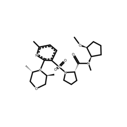 CO[C@H]1CCC[C@H]1N(C)C(=O)[C@@H]1CCCN1S(=O)(=O)c1ccc(C)nc1N1[C@@H](C)COC[C@@H]1C